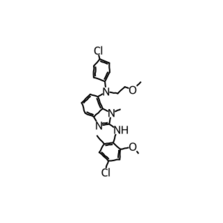 COCCN(c1ccc(Cl)cc1)c1cccc2nc(Nc3c(C)cc(Cl)cc3OC)n(C)c12